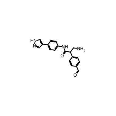 NCC(C(=O)Nc1ccc(-c2cn[nH]c2)cc1)c1ccc(C=O)cc1